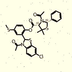 CSc1ccc(OC(=O)[C@@H]2N(C(C)=O)[C@H](c3ccccc3)SC2(C)C)c(C2Sc3cc(Cl)ccc3N2C(C)=O)c1